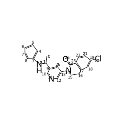 CC(Nc1ccccc1)c1cncc(N2CCc3cc(Cl)ccc3C2=O)c1